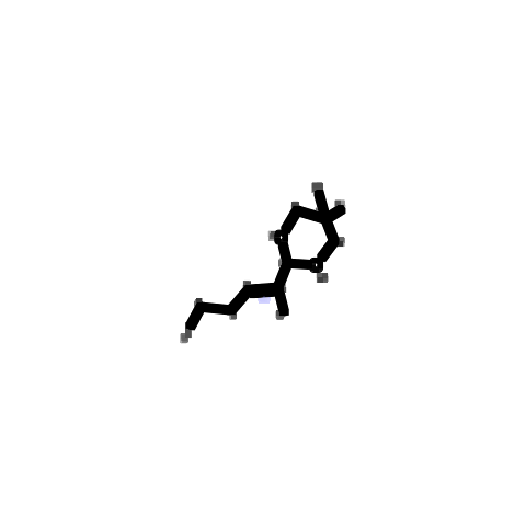 C/C(=C\CCI)C1OCC(C)(C)CO1